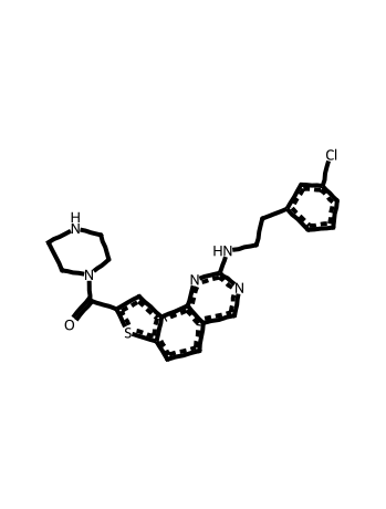 O=C(c1cc2c(ccc3cnc(NCCc4cccc(Cl)c4)nc32)s1)N1CCNCC1